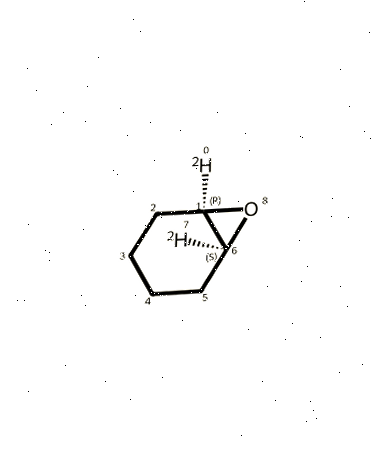 [2H][C@@]12CCCC[C@]1([2H])O2